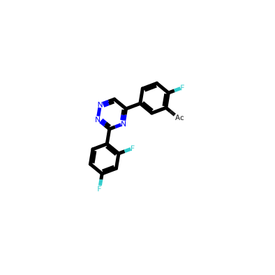 CC(=O)c1cc(-c2cnnc(-c3ccc(F)cc3F)n2)ccc1F